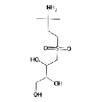 CC(C)(N)CCS(=O)(=O)CC(O)C(O)CO